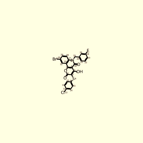 O=c1oc2c(c(O)c1Sc1ccc(Cl)cc1)c(=O)n(Cc1cccc(F)c1)c1ccc(Br)cc21